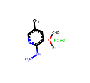 CCOC=O.Cc1ccc(NN)nc1.Cl.Cl